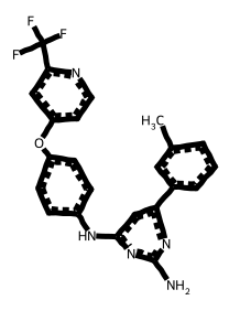 Cc1cccc(-c2cc(Nc3ccc(Oc4ccnc(C(F)(F)F)c4)cc3)nc(N)n2)c1